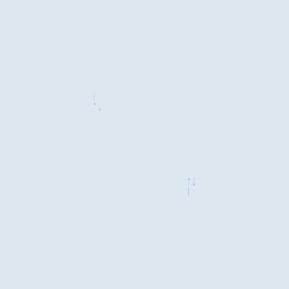 [c]1cc(-c2c[c]c3[nH]c4ccccc4c3c2)cc2c1[nH]c1ccccc12